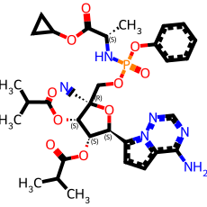 CC(C)C(=O)O[C@H]1[C@H](c2ccc3c(N)ncnn23)O[C@](C#N)(COP(=O)(N[C@@H](C)C(=O)OC2CC2)Oc2ccccc2)[C@H]1OC(=O)C(C)C